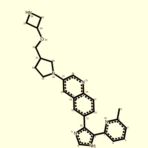 Cc1cccc(-c2[nH]cnc2-c2ccc3ncc(N4CCC(COC5CNC5)C4)cc3c2)n1